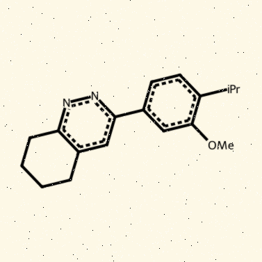 COc1cc(-c2cc3c(nn2)CCCC3)ccc1C(C)C